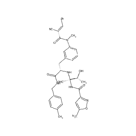 Cc1ccc(CNC(=O)[C@H](Cc2cccc(N(C)C(=O)C(C#N)=CC(C)C)c2)N[C@](C=O)(NC(=O)c2cc(C)on2)[C@@H](C)O)cc1